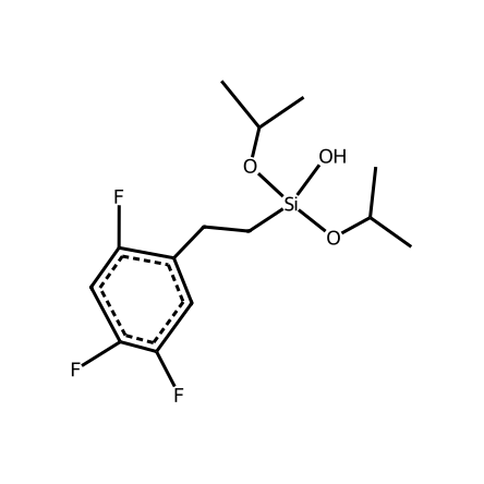 CC(C)O[Si](O)(CCc1cc(F)c(F)cc1F)OC(C)C